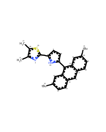 Cc1nc(-c2ccc(-c3c4cc(C(C)(C)C)ccc4cc4ccc(C(C)(C)C)cc34)[nH]2)sc1C